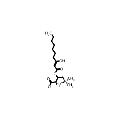 CCCCCCCC(O)=CC(=O)OC(CC(=O)[O-])C[N+](C)(C)C